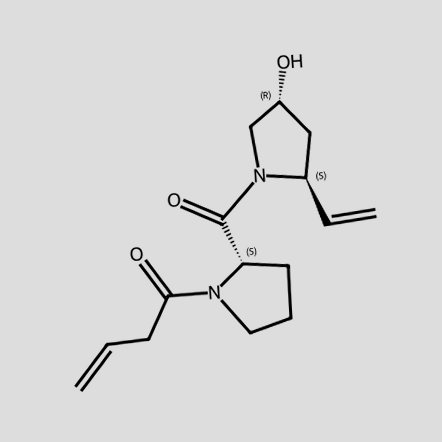 C=CCC(=O)N1CCC[C@H]1C(=O)N1C[C@H](O)C[C@H]1C=C